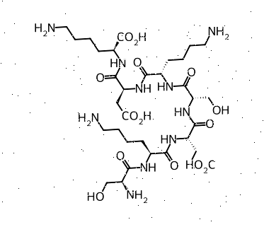 NCCCC[C@H](NC(=O)[C@H](CC(=O)O)NC(=O)[C@H](CCCCN)NC(=O)[C@H](CO)NC(=O)[C@H](CC(=O)O)NC(=O)[C@H](CCCCN)NC(=O)[C@@H](N)CO)C(=O)O